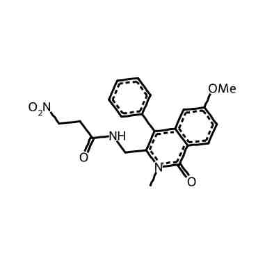 COc1ccc2c(=O)n(C)c(CNC(=O)CC[N+](=O)[O-])c(-c3ccccc3)c2c1